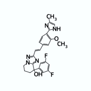 COc1cc(C=Cc2nc3n(n2)CCCC3(O)c2cc(F)cc(F)c2)ccc1-c1nc(C)c[nH]1